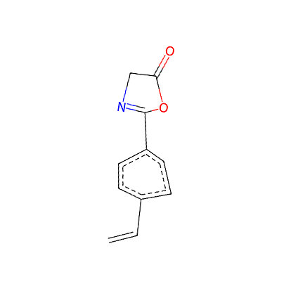 C=Cc1ccc(C2=NCC(=O)O2)cc1